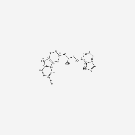 OC(COc1cccc2cc[nH]c12)CN1CCc2[nH]c3ccc(Cl)cc3c2C1